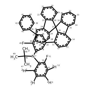 [2H]c1c([2H])c([2H])c(N(c2cc(-c3cccc4c3C3(c5ccccc5-c5ccccc53)c3ccccc3-4)cc(-c3ccccc3)c2F)C(C)(C)C)c(F)c1[2H]